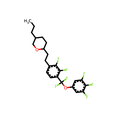 CCCC1CCC(CCc2ccc(C(F)(F)Oc3cc(F)c(F)c(F)c3)c(F)c2F)OC1